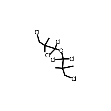 CC(C)(CCl)C(Cl)(Cl)OC(Cl)(Cl)C(C)(C)CCl